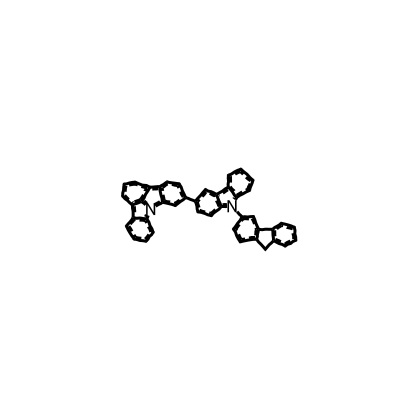 c1ccc2c(c1)Cc1ccc(-n3c4ccccc4c4cc(-c5ccc6c7cccc8c9ccccc9n(c6c5)c87)ccc43)cc1-2